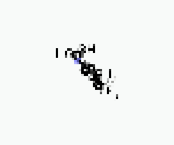 CC(CN1CCC(C(F)(F)F)CC1)[C@H]1CC[C@H]2C(=C/C=C3/C[C@@H](O)C[C@@H](O)C3)CCC[C@]12C